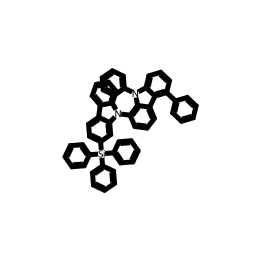 c1ccc(-c2cccc3c2c2cccc(-n4c5ccccc5c5ccc([Si](c6ccccc6)(c6ccccc6)c6ccccc6)cc54)c2n3-c2ccccc2)cc1